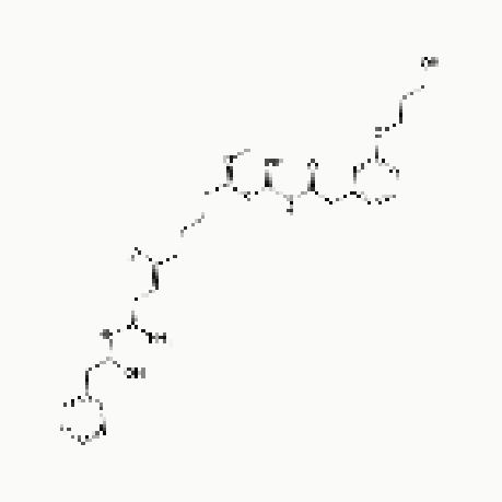 C/N=C(/CCCC/C(N)=C/C=C(\N)NC(O)Cc1ccccc1)SC(=N)NC(=O)Cc1cccc(OCCCO)c1